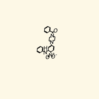 O=C(c1ccccc1)N1CCN(C2=CC(Nc3ccccc3)C([N+](=O)[O-])C=C2)CC1